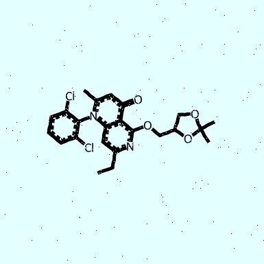 CCc1cc2c(c(OCC3COC(C)(C)O3)n1)c(=O)cc(C)n2-c1c(Cl)cccc1Cl